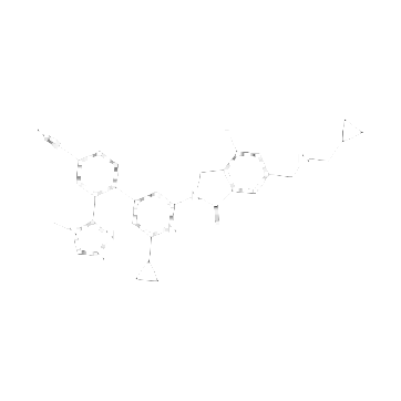 Cn1cnnc1-c1cc(C#N)ccc1-c1cc(C2CC2)nc(N2Cc3c(F)cc(CNCC4CC4)cc3C2=O)c1